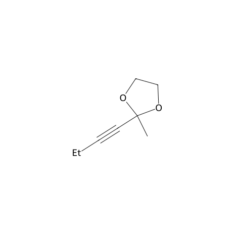 CCC#CC1(C)OCCO1